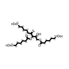 CCCCCCCCCCCCCCCC(=O)OCC(O)C(OC(=O)CCCCCCCCCCCCCCC)C(=S)CCCCCCCCCCCCCCC